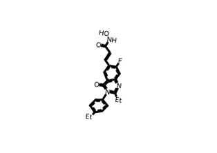 CCc1ccc(-n2c(CC)nc3cc(F)c(/C=C/C(=O)NO)cc3c2=O)cc1